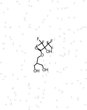 O=C(OCC(CO)CO)C(O)(C(F)(F)F)C(F)(F)F